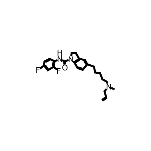 C=CCN(C)CCCCCc1ccc2c(c1)CCN2C(=O)Nc1ccc(F)cc1F